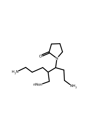 CCCCCCCCCCC(CCCN)C(CCN)N1CCCC1=O